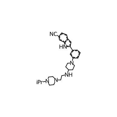 CC(C)N1CCN(CCNC2CCN(c3cccc(-c4cc5ccc(C#N)cc5[nH]4)c3)CC2)CC1